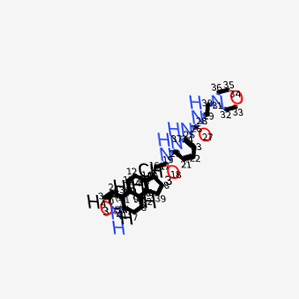 C[C@]12C=CON[C@@H]1CC[C@@H]1[C@@H]2CC[C@]2(C)[C@@H](CC(=O)Nc3cccc(NC(=O)NCCN4CCOCC4)n3)CC[C@@H]12